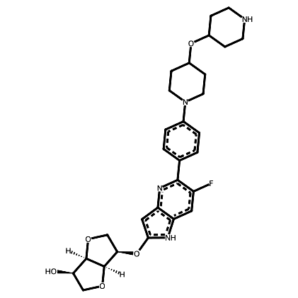 O[C@@H]1CO[C@H]2[C@@H]1OC[C@H]2Oc1cc2nc(-c3ccc(N4CCC(OC5CCNCC5)CC4)cc3)c(F)cc2[nH]1